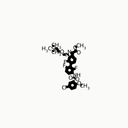 COC(=O)c1nn(COCC[Si](C)(C)C)c2c(F)c(-c3c(F)ccc(NS(=O)(=O)c4cc(Cl)ccc4OC)c3F)ccc12